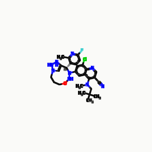 Cc1nc(F)ccc1[C@H]1C2=CN(CCCONN1c1cc(Cl)c3ncc(C#N)c(N(C)CC(C)(C)C)c3c1)NN2